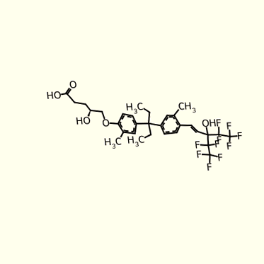 CCC(CC)(c1ccc(/C=C/C(O)(C(F)(F)C(F)(F)F)C(F)(F)C(F)(F)F)c(C)c1)c1ccc(OC[C@@H](O)CCC(=O)O)c(C)c1